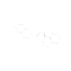 IC1CCC2CC(C3=CC=C4C(CCC5CCCCC45)C3)CCC2C1